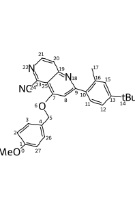 COc1ccc(COc2cc(-c3ccc(C(C)(C)C)cc3C)nc3ccnc(C#N)c23)cc1